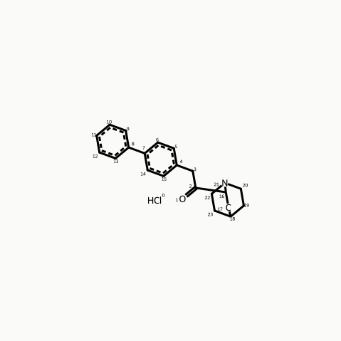 Cl.O=C(Cc1ccc(-c2ccccc2)cc1)C1CC2CCN1CC2